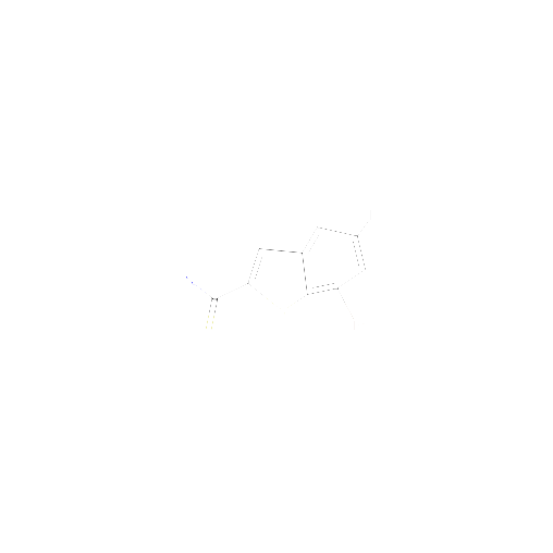 CCc1cc(Br)c2sc(C(N)=S)cc2c1